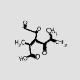 C=C(C)C(=O)C(C(=O)[C]=O)=C(C)C(=O)O